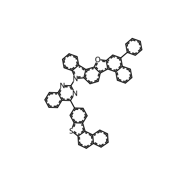 c1ccc(-c2cc3oc4c(ccc5c4c4ccccc4n5-c4nc(-c5ccc6c(c5)sc5ccc7ccccc7c56)c5ccccc5n4)c3c3ccccc23)cc1